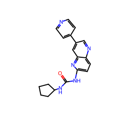 O=C(Nc1ccc2ncc(-c3ccncc3)cc2n1)NC1CCCC1